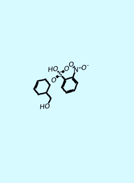 O=[N+]([O-])c1ccccc1S(=O)(=O)O.OCC1CC=CCC1